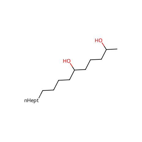 CCCCCCCCCCCC(O)CCCC(C)O